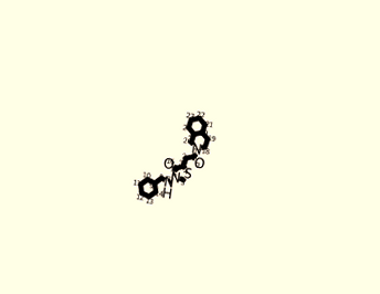 O=C(CC1SCN(NCC2CCCCC2)C1=O)N1CCC2CCCCC2C1